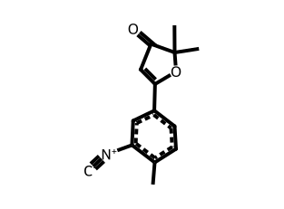 [C-]#[N+]c1cc(C2=CC(=O)C(C)(C)O2)ccc1C